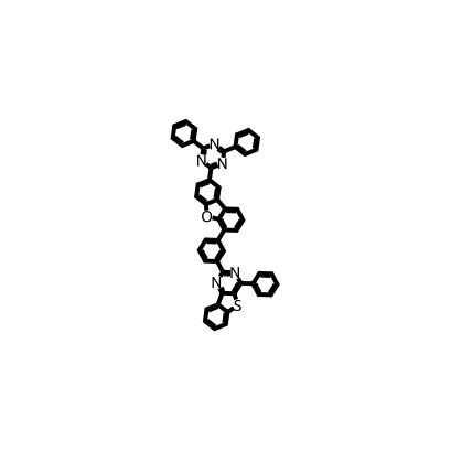 c1ccc(-c2nc(-c3ccccc3)nc(-c3ccc4oc5c(-c6cccc(-c7nc(-c8ccccc8)c8sc9ccccc9c8n7)c6)cccc5c4c3)n2)cc1